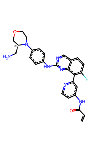 C=CC(=O)Nc1ccnc(-c2c(F)ccc3cnc(Nc4ccc(N5CCOC[C@@H]5CN)cc4)nc23)c1